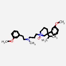 COc1cccc(CCN(C)CCC[N+]2([O-])CCCC(c3cccc(OC)c3)(C(C)C)C2)c1